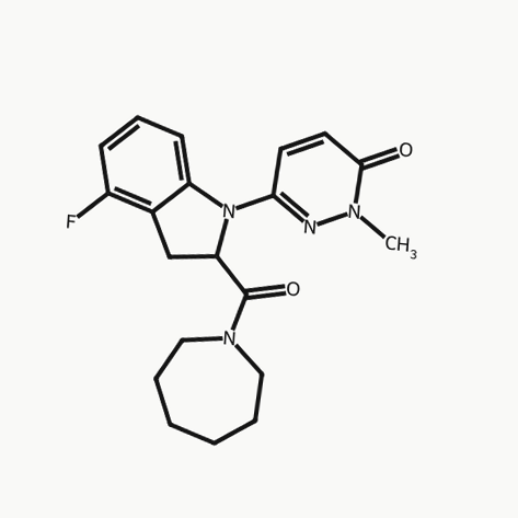 Cn1nc(N2c3cccc(F)c3CC2C(=O)N2CCCCCC2)ccc1=O